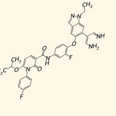 CCn1ncc2cc(Oc3ccc(NC(=O)c4ccc(OC(C)C)n(-c5ccc(F)cc5)c4=O)cc3F)c(/C(C=N)=C/N)cc21